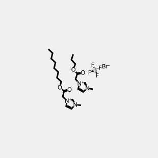 CCCCCCCCOC(=O)C[n+]1ccn(C)c1.CCCOC(=O)C[n+]1ccn(C)c1.F[B-](F)(F)F.[Br-]